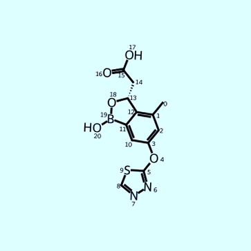 Cc1cc(Oc2nncs2)cc2c1[C@@H](CC(=O)O)OB2O